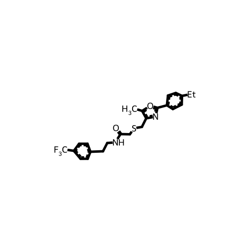 CCc1ccc(-c2nc(CSCC(=O)NCCc3ccc(C(F)(F)F)cc3)c(C)o2)cc1